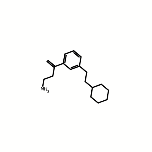 C=C(CCN)c1cccc(CCC2CCCCC2)c1